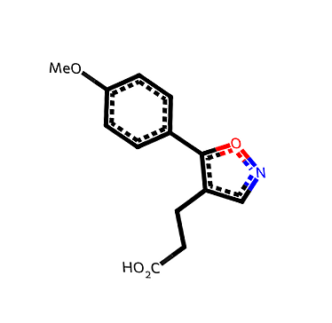 COc1ccc(-c2oncc2CCC(=O)O)cc1